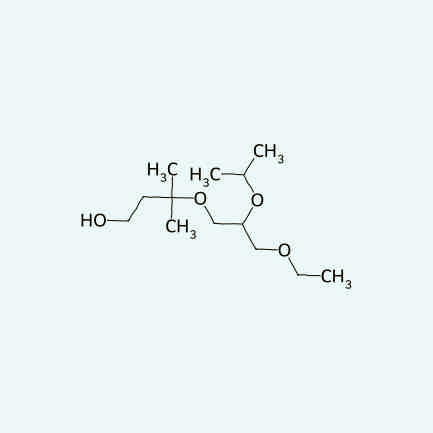 CCOCC(COC(C)(C)CCO)OC(C)C